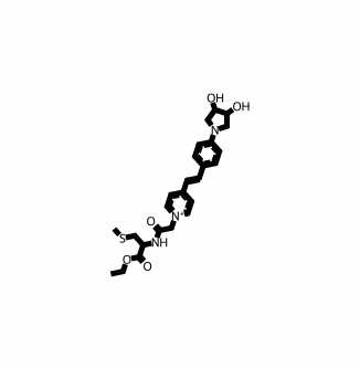 CCOC(=O)C(CSC)NC(=O)C[n+]1ccc(/C=C/c2ccc(N3CC(O)C(O)C3)cc2)cc1